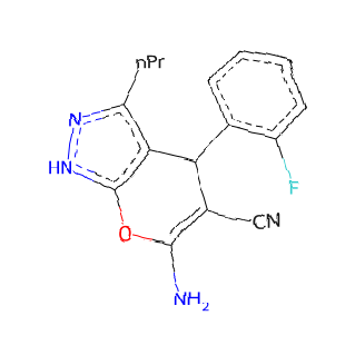 CCCc1n[nH]c2c1C(c1ccccc1F)C(C#N)=C(N)O2